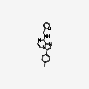 Cc1ccc(-c2cnc3c(NCc4ccco4)nccn23)cc1